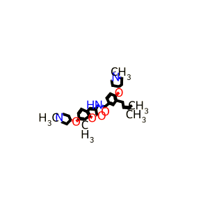 CC(C)=CCc1cc(C(=O)Nc2cc3ccc(OC4CCN(C)CC4)c(C)c3oc2=O)ccc1OC1CCN(C)CC1